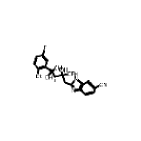 CCc1ccc(F)cc1C(C)(C)CC(O)(Cc1nc2ccc(C#N)cc2[nH]1)C(F)(F)F